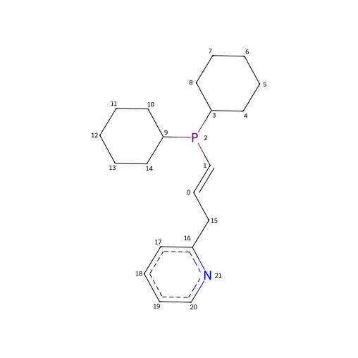 C(=CP(C1CCCCC1)C1CCCCC1)Cc1ccccn1